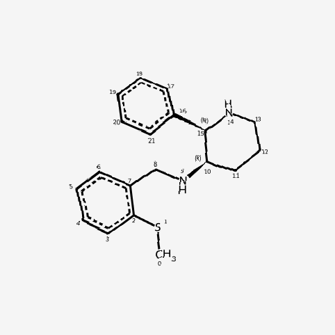 CSc1ccccc1CN[C@@H]1CCCN[C@@H]1c1ccccc1